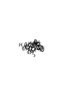 Cn1c(=O)cc(N(C)[C@H]2CC[C@@H](N(C[C@@H]3COCCO3)c3cccc4c3OCO4)CC2)c2nc(C#N)ccc21